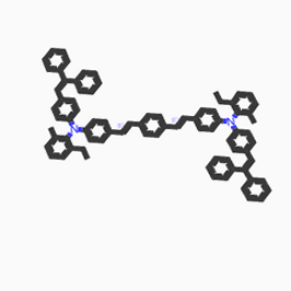 CCc1cccc(C)c1N(c1ccc(C=C(c2ccccc2)c2ccccc2)cc1)c1ccc(/C=C/c2ccc(/C=C/c3ccc(N(c4ccc(C=C(c5ccccc5)c5ccccc5)cc4)c4c(C)cccc4CC)cc3)cc2)cc1